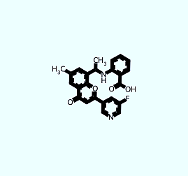 Cc1cc(C(C)Nc2ccccc2C(=O)O)c2oc(-c3cncc(F)c3)cc(=O)c2c1